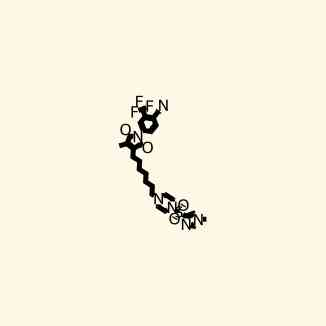 CC1=C(CCCCCCCN2CCN(S(=O)(=O)c3cn(C)cn3)CC2)C(=O)N(c2ccc(C#N)c(C(F)(F)F)c2)C1=O